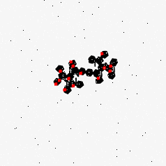 c1ccc(-c2cc(-c3ccccc3)nc(-c3cc(-c4cc(-c5ccc(-c6ccc(-c7cc(-c8ccccc8)nc(-c8cc(-c9cc(-c%10ccccc%10)cc(-c%10ccccc%10)n9)cc(-c9nc(-c%10ccccc%10)cc(-c%10ccccc%10)n9)c8)n7)cc6)cc5)cc(-c5ccccc5)n4)cc(-c4cc(-c5ccccc5)nc(-c5ccccc5)n4)c3)c2)cc1